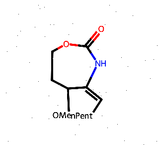 CCCCC/C=C1/NC(=O)OCCC1OC